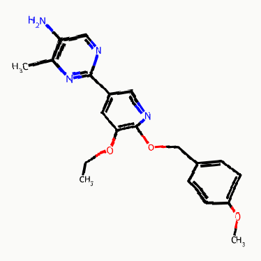 CCOc1cc(-c2ncc(N)c(C)n2)cnc1OCc1ccc(OC)cc1